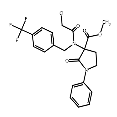 COC(=O)C1(N(Cc2ccc(C(F)(F)F)cc2)C(=O)CCl)CCN(c2ccccc2)C1=O